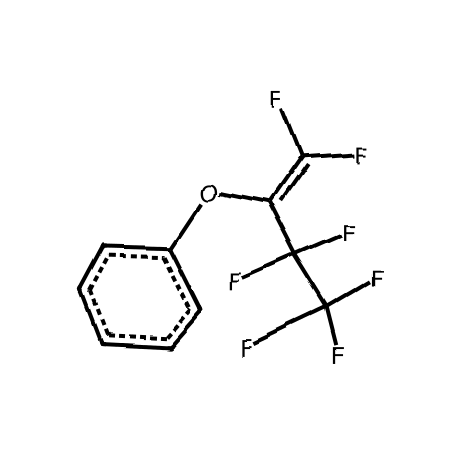 FC(F)=C(Oc1ccccc1)C(F)(F)C(F)(F)F